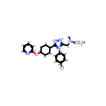 CN(Cc1nnc(C2CCC(Oc3ccccn3)CC2)n1-c1ccc(Cl)cc1)C(=O)O